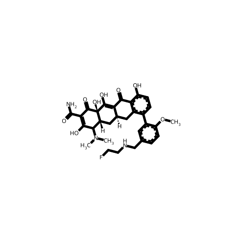 COc1ccc(CNCCF)cc1-c1ccc(O)c2c1C[C@H]1C[C@@H]3C(N(C)C)C(O)=C(C(N)=O)C(=O)[C@]3(O)C(O)=C1C2=O